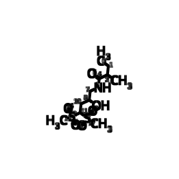 CCC(C)C(=O)NCC(O)CC(S(C)(=O)=O)S(C)(=O)=O